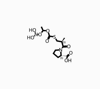 CC(OC(=O)SC[C@@H](C)C(=O)N1CCC[C@H]1C(=O)O)ON(O)O